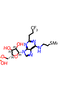 CSCCNc1nc(CCC(F)(F)F)nc2c1ncn2[C@@H]1O[C@H](COP(O)(O)=S)[C@@H](O)[C@H]1O